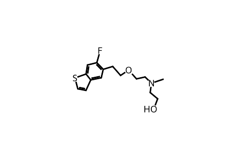 CN(CCO)CCOCCc1cc2ccsc2cc1F